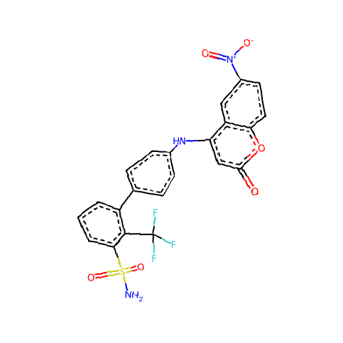 NS(=O)(=O)c1cccc(-c2ccc(Nc3cc(=O)oc4ccc([N+](=O)[O-])cc34)cc2)c1C(F)(F)F